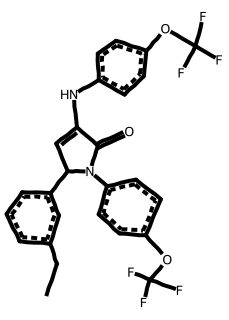 CCc1cccc(C2C=C(Nc3ccc(OC(F)(F)F)cc3)C(=O)N2c2ccc(OC(F)(F)F)cc2)c1